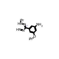 CC(C)N/N=C(\N=N)c1cc(N)cc(OC(C)C)c1